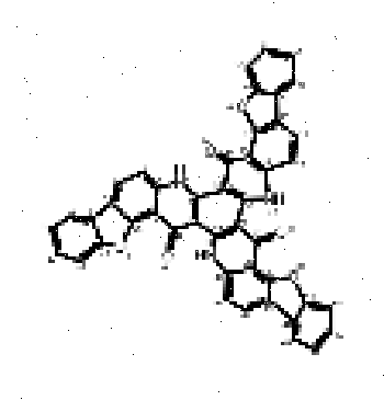 O=c1c2c([nH]c3ccc4c5ccccc5oc4c13)c1c(=O)c3c(ccc4c5ccccc5oc43)[nH]c1c1c(=O)c3c(ccc4c5ccccc5oc43)[nH]c21